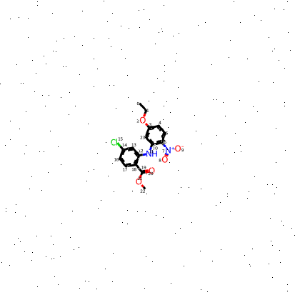 CCOc1ccc([N+](=O)[O-])c(Nc2cc(Cl)ccc2C(=O)OC)c1